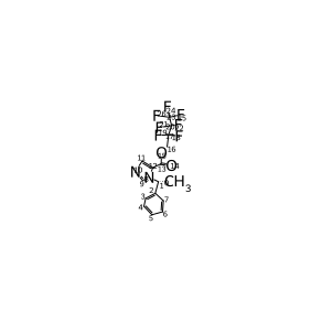 C[C@H](c1ccccc1)n1cncc1C(=O)OCC(F)(F)C(F)(F)C(F)(F)F